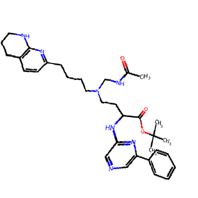 CC(=O)NCN(CCCCc1ccc2c(n1)NCCC2)CCC(Nc1cncc(-c2ccccc2)n1)C(=O)OC(C)(C)C